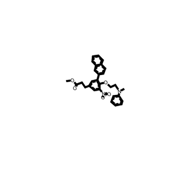 COC(=O)CCc1cc(-c2ccc3ccccc3c2)c(OCCN(C)c2ccccc2)c([N+](=O)[O-])c1